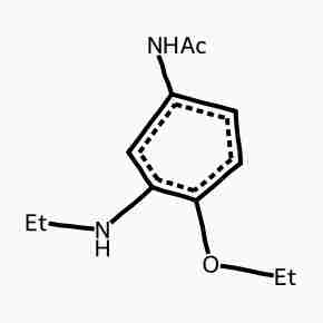 CCNc1cc(NC(C)=O)ccc1OCC